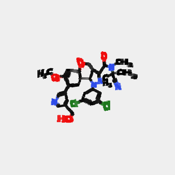 COc1cc2c(cc1-c1cncc(CO)c1)C1C(CO2)C(C(=O)N(C)C(C)(C)C#N)=NN1c1cc(Cl)cc(Cl)c1